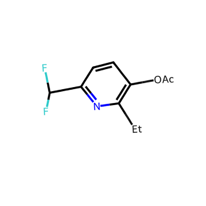 CCc1nc(C(F)F)ccc1OC(C)=O